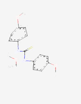 CCOCC.CCOc1ccc(NC(=S)Nc2ccc(OCC)cc2)cc1.[NaH]